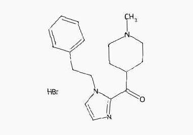 Br.CN1CCC(C(=O)c2nccn2CCc2ccccc2)CC1